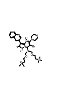 C[Si](C)(C)CCOCN(COCC[Si](C)(C)C)C1C(Br)=C(N2CCSCC2)[N+](=O)c2c(-c3cnc4ccccc4c3)c(=O)[nH]n21